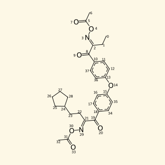 CC/C(=N\OC(C)=O)C(=O)c1ccc(Oc2ccc(C(=O)/C(CCC3CCCC3)=N/OC(C)=O)cc2)cc1